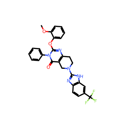 COc1ccccc1Oc1nc2c(c(=O)n1-c1ccccc1)CN(c1nc3ccc(C(F)(F)F)cc3[nH]1)CC2